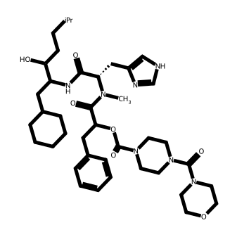 CC(C)CCC(O)C(CC1CCCCC1)NC(=O)[C@H](Cc1c[nH]cn1)N(C)C(=O)C(Cc1ccccc1)OC(=O)N1CCN(C(=O)N2CCOCC2)CC1